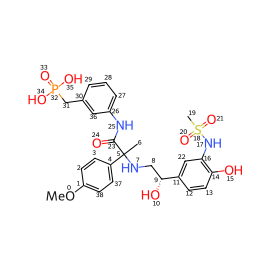 COc1ccc(C(C)(NC[C@@H](O)c2ccc(O)c(NS(C)(=O)=O)c2)C(=O)Nc2cccc(CP(=O)(O)O)c2)cc1